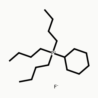 CCCC[P+](CCCC)(CCCC)C1CCCCC1.[F-]